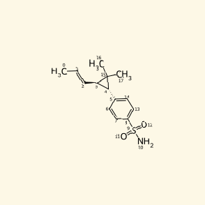 C/C=C/[C@@H]1[C@@H](c2ccc(S(N)(=O)=O)cc2)C1(C)C